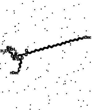 CCCCCCCCCCCCCCCCCCCCCCCCCCCCCCCCCCCC(=O)OC[C@H](COP(=O)([O-])OCC[N+](C)(C)C)OC(=O)CCCCCCCCCCCCCCC